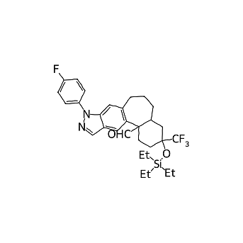 CC[Si](CC)(CC)OC1(C(F)(F)F)CCC2(C=O)c3cc4cnn(-c5ccc(F)cc5)c4cc3CCCC2C1